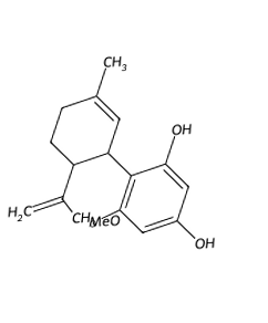 C=C(C)C1CCC(C)=CC1c1c(O)cc(O)cc1OC